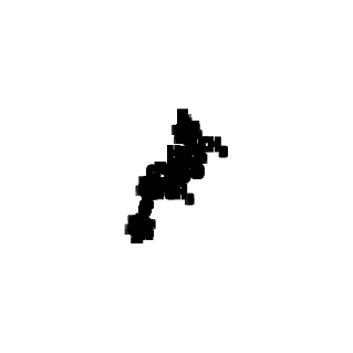 Cc1cc(=O)c(C(=O)N[C@H]2COc3ccc(C#Cc4cccnc4)cc3N(C)C2=O)nn1-c1ccc(F)cc1